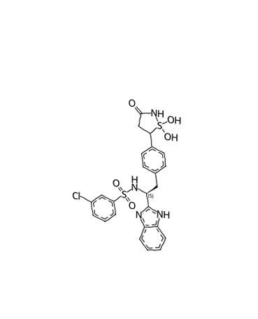 O=C1CC(c2ccc(C[C@H](NS(=O)(=O)c3cccc(Cl)c3)c3nc4ccccc4[nH]3)cc2)S(O)(O)N1